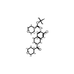 CC(C)(C)OC(=O)N1CCOC[C@H]1c1cc(Cl)cc2c1CCN(C(=O)C1CCOCC1)C2